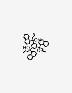 C=CCC(O)(c1cc(C(O)(CC=C)c2cccc3ccccc23)cc(C(O)(CC=C)c2cccc3ccccc23)c1)c1cccc2ccccc12